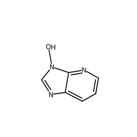 On1cnc2cccnc21